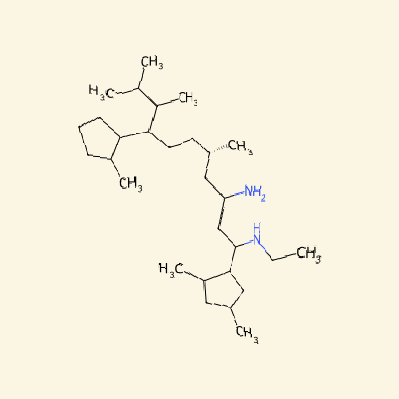 CCNC(CC(N)C[C@@H](C)CCC(C(C)C(C)C)C1CCCC1C)C1CC(C)CC1C